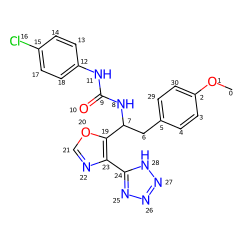 COc1ccc(CC(NC(=O)Nc2ccc(Cl)cc2)c2ocnc2-c2nnn[nH]2)cc1